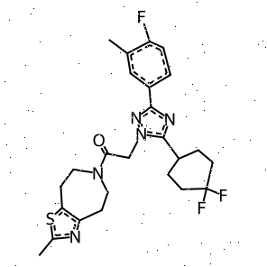 Cc1nc2c(s1)CCN(C(=O)Cn1nc(-c3ccc(F)c(C)c3)nc1C1CCC(F)(F)CC1)CC2